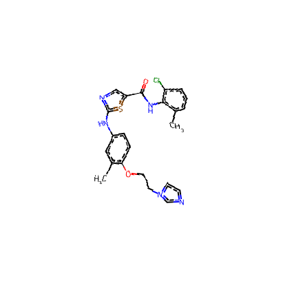 Cc1cc(Nc2ncc(C(=O)Nc3c(C)cccc3Cl)s2)ccc1OCCn1ccnc1